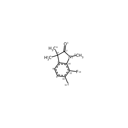 CN1C(=O)C(C)(C)c2ccc(I)c(F)c21